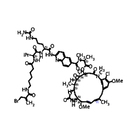 C=C(CBr)C(=O)NCCCCCC(=O)N[C@H](C(=O)N[C@@H](CCCNC(N)=O)C(=O)Nc1ccc2cc(C(=O)N(C)[C@@H](C)C(=O)O[C@H]3CC(=O)N(C)c4cc(cc(OC)c4Cl)C/C(C)=C/C=C/[C@@H](OC)[C@@]4(O)C[C@H](OC(=O)N4)[C@@H](C)[C@@H]4O[C@@]34C)ccc2n1)C(C)C